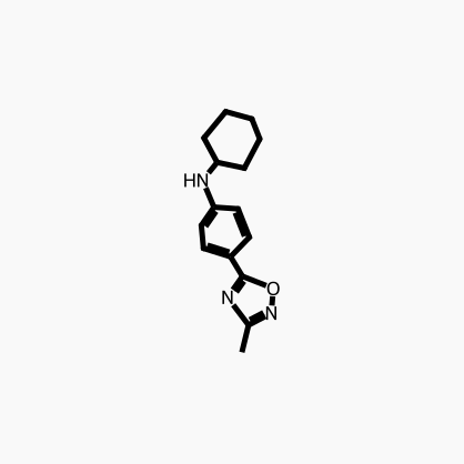 Cc1noc(-c2ccc(NC3CCCCC3)cc2)n1